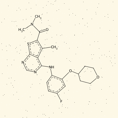 Cc1c(C(=O)N(C)C)sc2ncnc(Nc3ccc(F)cc3OC3CCOCC3)c12